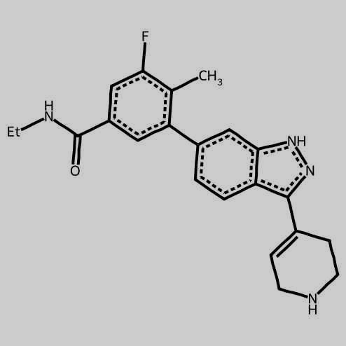 CCNC(=O)c1cc(F)c(C)c(-c2ccc3c(C4=CCNCC4)n[nH]c3c2)c1